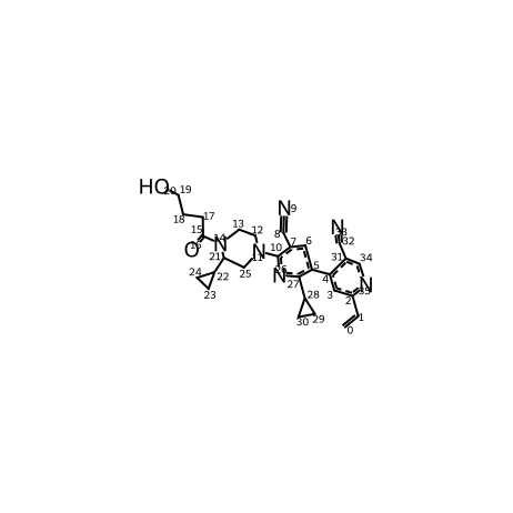 C=Cc1cc(-c2cc(C#N)c(N3CCN(C(=O)CCCO)C(C4CC4)C3)nc2C2CC2)c(C#N)cn1